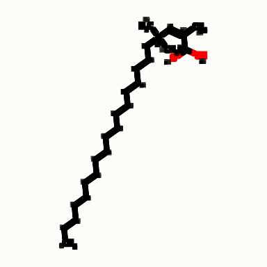 CCCCCCCCCCCCCCCCCC[Si](C)(C)C=C(C)C(=O)O